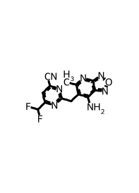 Cc1nc2nonc2c(N)c1Cc1nc(C#N)cc(C(F)F)n1